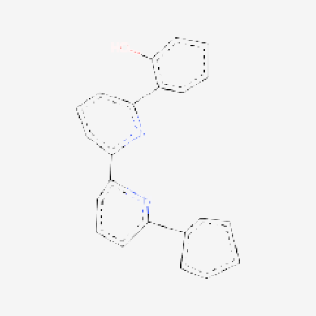 Oc1ccccc1-c1cccc(-c2cccc(-c3ccccc3)n2)n1